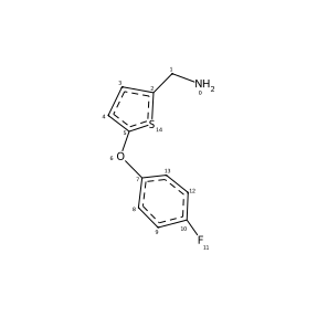 NCc1ccc(Oc2ccc(F)cc2)s1